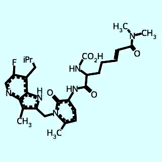 Cc1c(Cn2c(C)ccc(NC(=O)C(CCC=CC(=O)N(C)C)NC(=O)O)c2=O)[nH]c2c(CC(C)C)c(F)cnc12